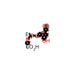 CCC(C)(CCOc1ccc(C(=O)O)cc1)OCCOc1ccc(Oc2c(-c3ccc(S(C)(=O)=O)cc3)ccc3cc(O)ccc23)cc1